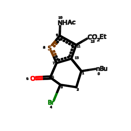 CCCCC1CC(Br)C(=O)c2sc(NC(C)=O)c(C(=O)OCC)c21